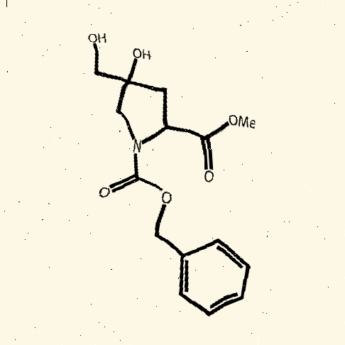 COC(=O)C1CC(O)(CO)CN1C(=O)OCc1ccccc1